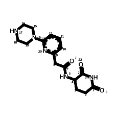 O=C1CCC(NC(=O)Cc2cccc(N3CCNCC3)n2)C(=O)N1